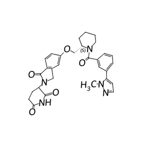 Cn1nccc1-c1cccc(C(=O)N2CCCC[C@H]2COc2ccc3c(c2)CN(C2CCC(=O)NC2=O)C3=O)c1